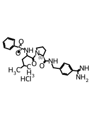 CC(C)CC(NS(=O)(=O)c1ccccc1)C(=O)N1CCC[C@H]1C(=O)NCc1ccc(C(=N)N)cc1.Cl